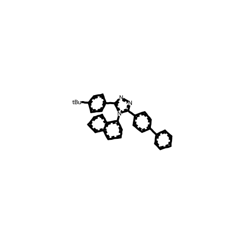 CC(C)(C)c1ccc(-c2nnc(-c3ccc(-c4ccccc4)cc3)n2-c2cccc3ccccc23)cc1